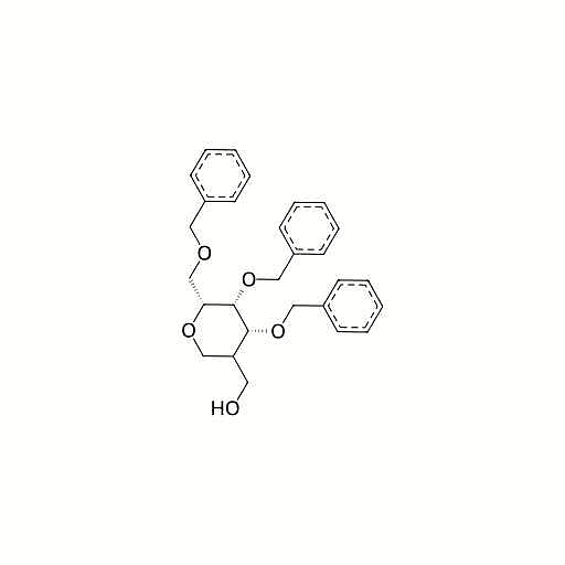 OCC1CO[C@H](COCc2ccccc2)[C@H](OCc2ccccc2)[C@@H]1OCc1ccccc1